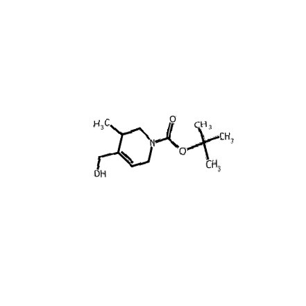 CC1CN(C(=O)OC(C)(C)C)CC=C1CO